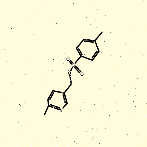 Cc1ccc(S(=O)(=O)OCc2ccc(C)nc2)cc1